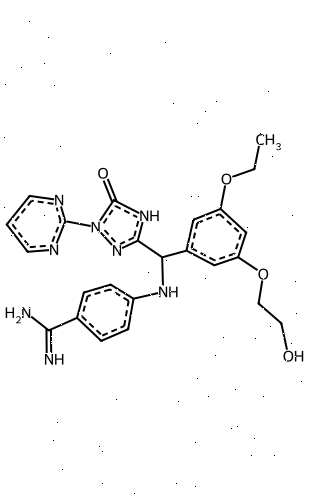 CCOc1cc(OCCO)cc(C(Nc2ccc(C(=N)N)cc2)c2nn(-c3ncccn3)c(=O)[nH]2)c1